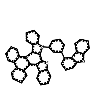 c1cc(-c2cccc3oc4ccccc4c23)cc(-n2c3ccccc3c3c4c5ccccc5c5ccccc5c4c4c5ccccc5sc4c32)c1